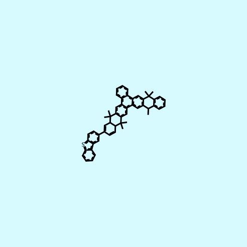 CC1c2ccccc2C(C)(C)c2cc3c4ccccc4c4cc5c(cc4c3cc21)C(C)(C)C1C=CC(c2ccc3sc4ccccc4c3c2)=CC1C5(C)C